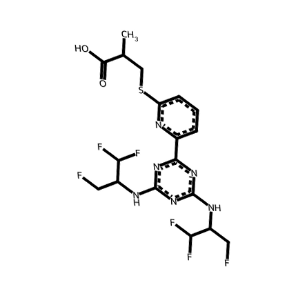 CC(CSc1cccc(-c2nc(NC(CF)C(F)F)nc(NC(CF)C(F)F)n2)n1)C(=O)O